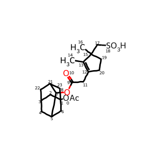 CC(=O)OC12CC3CC(C1)C(OC(=O)CC1=C(C)C(C)(CS(=O)(=O)O)CC1)C(C3)C2